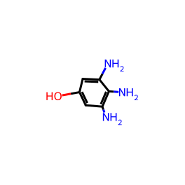 Nc1cc(O)cc(N)c1N